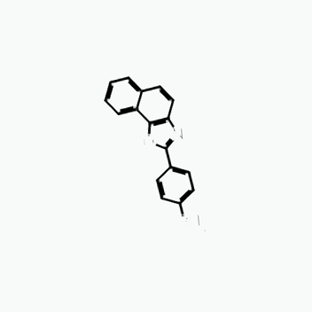 Bc1ccc(-c2nc3ccc4ccccc4c3o2)cc1